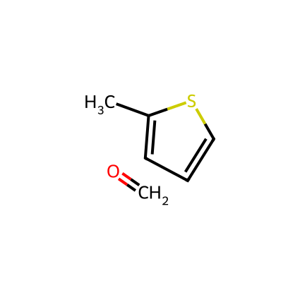 C=O.Cc1cccs1